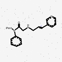 CCCC(C)N(C(=O)CNC/C=C/c1cccnc1)c1ccccc1